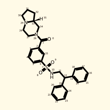 O=C(c1cccc(S(=O)(=O)NCC(c2ccccc2)c2ccccc2)c1)N1CCN2CCC[C@@H]2C1